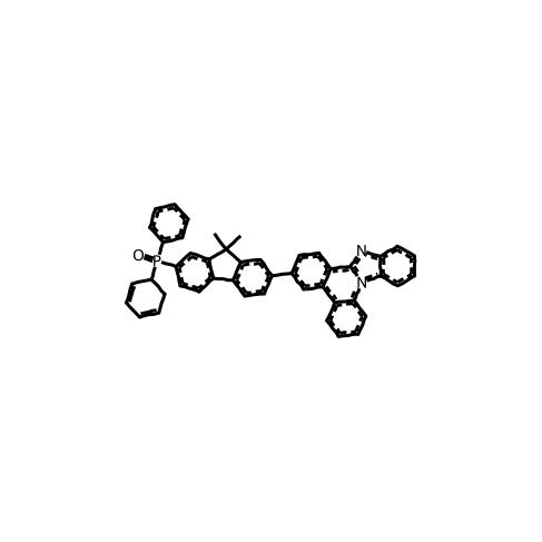 CC1(C)c2cc(-c3ccc4c(c3)c3ccccc3n3c5ccccc5nc43)ccc2-c2ccc(P(=O)(c3ccccc3)C3C=CC=CC3)cc21